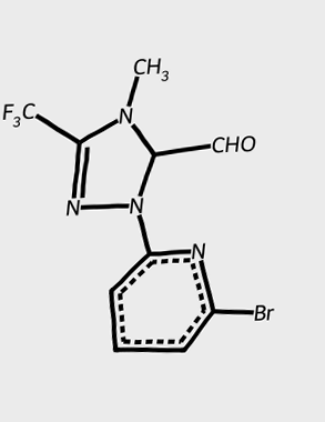 CN1C(C(F)(F)F)=NN(c2cccc(Br)n2)C1C=O